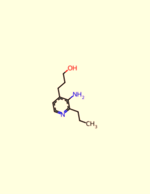 CCCc1nccc(CCCO)c1N